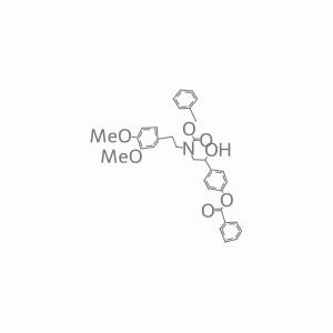 COc1ccc(CCN(CC(O)c2ccc(OC(=O)c3ccccc3)cc2)C(=O)OCc2ccccc2)cc1OC